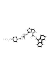 O=C(NCC1CCC(C(=O)O)CC1)N/N=C1\CCC2CCN(C(=O)OCC3c4ccccc4-c4ccccc43)C12